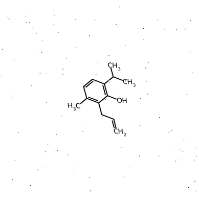 C=CCc1c(C)ccc(C(C)C)c1O